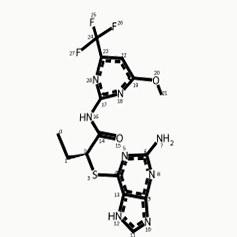 CC[C@H](Sc1nc(N)nc2nc[nH]c12)C(=O)Nc1nc(OC)cc(C(F)(F)F)n1